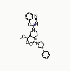 COC(=O)[C@H]1CN(/C(=N/C#N)Oc2ccccc2)CC[C@@H]1C(=O)N1CC[C@H](c2ccccc2)C1